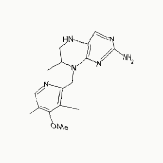 COc1c(C)cnc(CN2c3nc(N)ncc3NCC2C)c1C